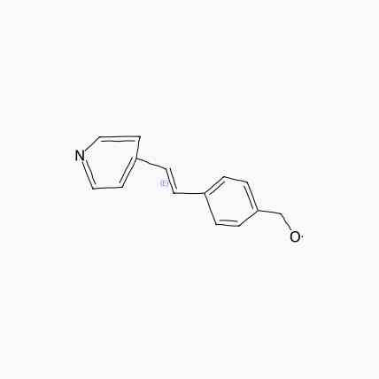 [O]Cc1ccc(/C=C/c2ccncc2)cc1